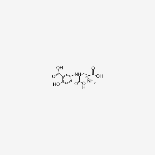 N[C@@H](CC(Nc1ccc(O)c(C(=O)O)c1)C(=O)O)C(=O)O